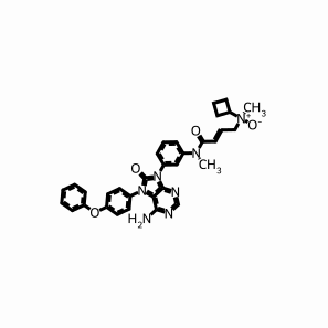 CN(C(=O)/C=C/C[N+](C)([O-])C1CCC1)c1cccc(-n2c(=O)n(-c3ccc(Oc4ccccc4)cc3)c3c(N)ncnc32)c1